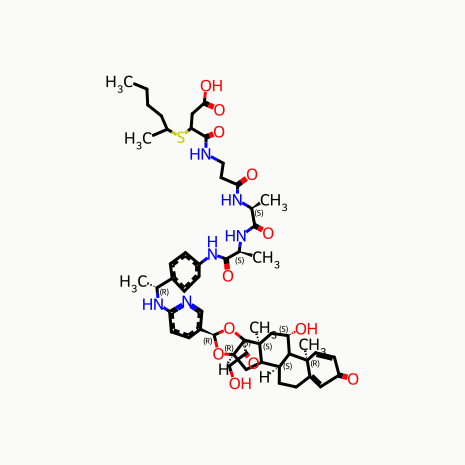 CCCCC(C)SC(CC(=O)O)C(=O)NCCC(=O)N[C@@H](C)C(=O)N[C@@H](C)C(=O)Nc1ccc([C@@H](C)Nc2ccc([C@@H]3O[C@@H]4CC5[C@@H]6CCC7=CC(=O)C=C[C@]7(C)C6[C@@H](O)C[C@]5(C)[C@]4(C(=O)CO)O3)cn2)cc1